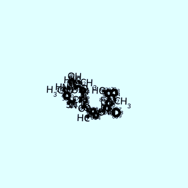 C#C[C@@]1(COC(=O)N2CCN(c3cc([C@H](C(=O)N4C[C@H](O)C[C@H]4C(=O)N[C@@H](C)c4ccc(-c5scnc5C)cc4)C(C)C)on3)CC2)CC[C@@]2(COc3nc(N4CCCCCC4)c4cnc(-c5cc(O)cc6cccc(CC)c56)c(F)c4n3)CCCN12